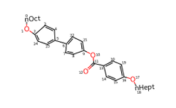 CCCCCCCCOc1ccc(-c2ccc(OC(=O)c3ccc(OCCCCCCC)cc3)cc2)cc1